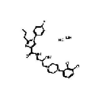 CCCc1nc(C(=O)NCC(O)CN2CCN(c3cccc(Cl)c3Cl)CC2)cn1-c1ccc(F)cc1.Cl.Cl